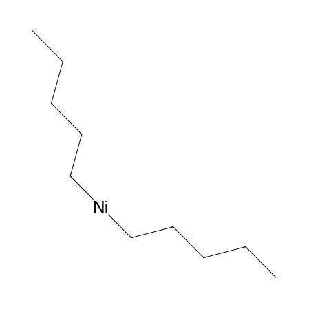 CCCC[CH2][Ni][CH2]CCCC